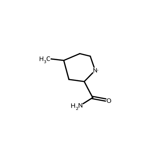 CC1CC[N]C(C(N)=O)C1